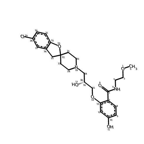 COCCNC(=O)c1ccc(O)cc1OC[C@H](O)CN1CCC2(CC1)Cc1cc(Cl)ccc1O2